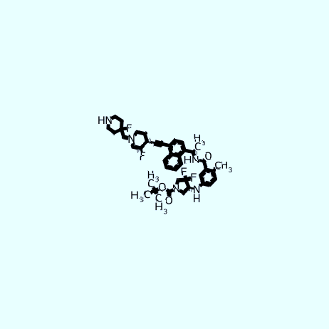 Cc1ccc(N[C@H]2CN(C(=O)OC(C)(C)C)CC2(F)F)cc1C(=O)N[C@H](C)c1ccc(C#C[C@@H]2CCN(CC3(F)CCNCC3)C[C@@H]2F)c2ccccc12